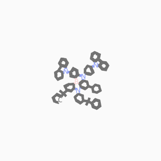 CC(C)(C1=CC2C(C=C1)B1C3=C(CC(C4CCCCC4)C=C3N2C2CC=CC(C(C)(C)c3ccccc3)C2)N(C2=CC=C(n3c4ccccc4c4ccccc43)CC2)c2ccc(N3c4ccccc4C4C=CC=CC43)cc21)C1=CC=CCC1